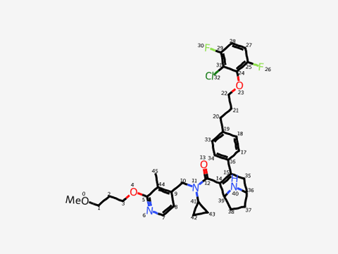 COCCCOc1nccc(CN(C(=O)C2=C(c3ccc(CCCOc4c(F)ccc(F)c4Cl)cc3)CC3CCC2N3)C2CC2)c1C